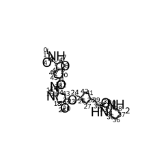 CCNC(=O)c1c(C)oc2cc(Oc3ncnc4cc(OC)c(OCc5ccc(/C=C/C(=O)Nc6ccccc6N)cc5)cc34)ccc12